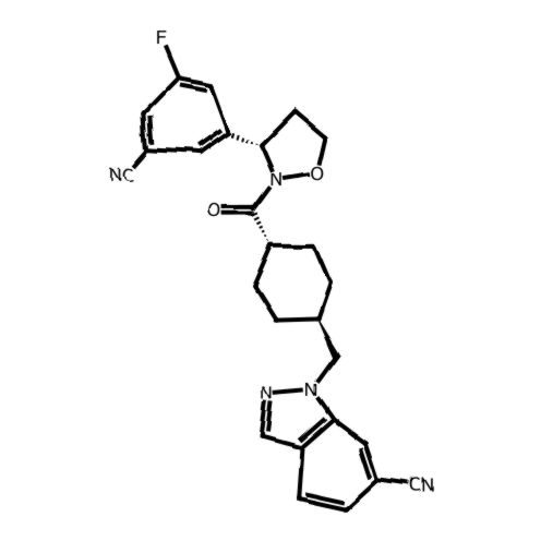 N#Cc1cc(F)cc([C@@H]2CCON2C(=O)[C@H]2CC[C@H](Cn3ncc4ccc(C#N)cc43)CC2)c1